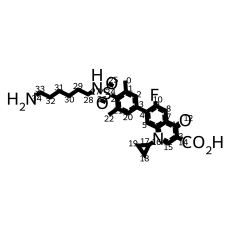 Cc1cc(-c2cc3c(cc2F)c(=O)c(C(=O)O)cn3C2CC2)cc(C)c1S(=O)(=O)NCCCCCCN